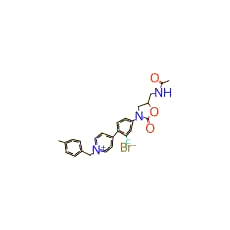 CC(=O)NCC1CN(c2ccc(-c3cc[n+](Cc4ccc(C)cc4)cc3)c(F)c2)C(=O)O1.[Br-]